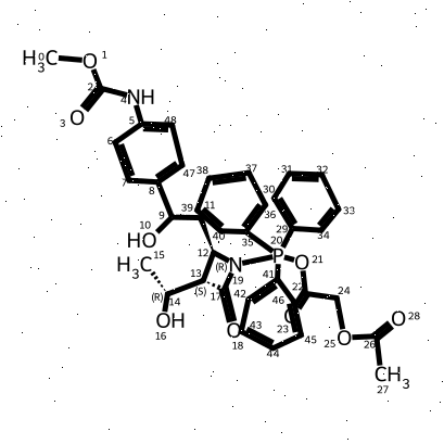 COC(=O)Nc1ccc(C(O)C[C@@H]2[C@@H]([C@@H](C)O)C(=O)N2P(OC(=O)COC(C)=O)(c2ccccc2)(c2ccccc2)c2ccccc2)cc1